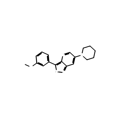 COc1cccc(-c2[nH]nc3cc(N4CCCCC4)cnc23)c1